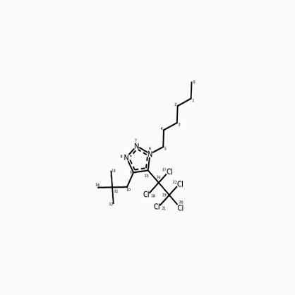 CCCCCCn1nnc(CC(C)(C)C)c1C(Cl)(Cl)C(Cl)(Cl)Cl